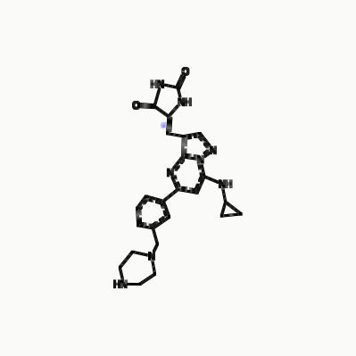 O=C1NC(=O)/C(=C/c2cnn3c(NC4CC4)cc(-c4cccc(CN5CCNCC5)c4)nc23)N1